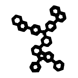 C1=CCCC(c2ccc3c4c(n(-c5ccccc5)c3c2)CCC=C4C2CCCC(N(c3ccc(-c4ccc5c(c4)CCCC5)cc3)C3C=CC(c4cccc5ccccc45)=CC3)C2)=C1